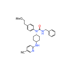 COCCc1ccc(N(C(=O)NCc2ccccc2)[C@H]2CC[C@H](Nc3ccc(C#N)cn3)CC2)cc1